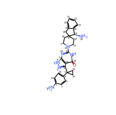 Nc1ccc(C2(c3n[nH]c4nc(N5CCC6(CC5)Cc5ccccc5[C@H]6N)[nH]c(=O)c34)CC2)cc1